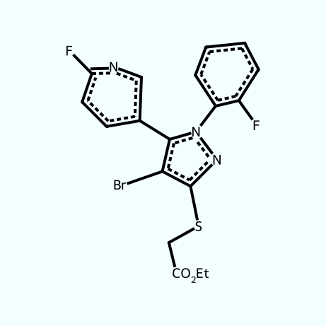 CCOC(=O)CSc1nn(-c2ccccc2F)c(-c2ccc(F)nc2)c1Br